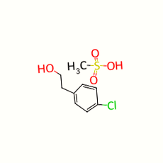 CS(=O)(=O)O.OCCc1ccc(Cl)cc1